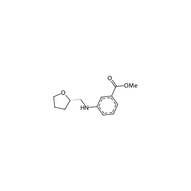 COC(=O)c1cccc(NC[C@@H]2CCCO2)c1